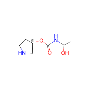 CC(O)NC(=O)O[C@H]1CCNC1